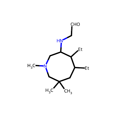 CCC1CC(C)(C)CN(C)CC(NCC=O)C1CC